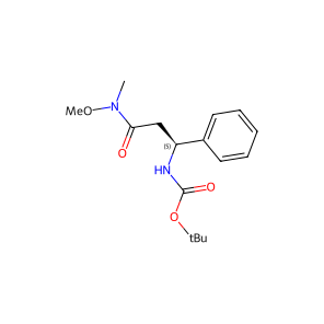 CON(C)C(=O)C[C@H](NC(=O)OC(C)(C)C)c1ccccc1